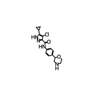 O=C(Nc1ccc(C2CNCCO2)cc1)c1n[nH]c(C2CC2)c1Cl